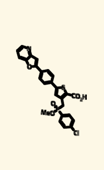 COP(=O)(Cc1cc(-c2ccc(-c3cc4ncccc4o3)cc2)sc1C(=O)O)c1ccc(Cl)cc1